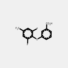 O=C(O)c1cccc(Oc2c(F)cc(C(F)(F)F)cc2F)c1